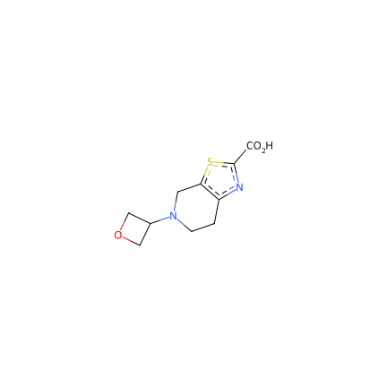 O=C(O)c1nc2c(s1)CN(C1COC1)CC2